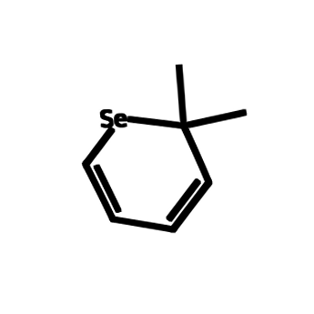 CC1(C)C=CC=C[Se]1